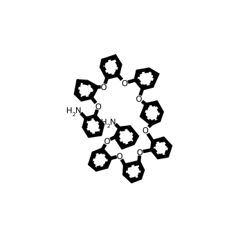 Nc1ccccc1Oc1ccccc1Oc1ccccc1Oc1ccccc1Oc1cccc(Oc2ccccc2Oc2ccccc2Oc2ccccc2Oc2ccccc2N)c1